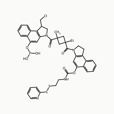 CCC1(C(=O)N2CCc3c2cc(OC(=O)NCCSSc2ccccn2)c2ccccc32)CC(C)(C(=O)N2CC(CCl)c3c2cc(OP(O)O)c2ccccc32)C1